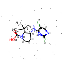 CC(C)(C)C1[C@@H](Nc2nc(Cl)ncc2F)CCCN1C(=O)O